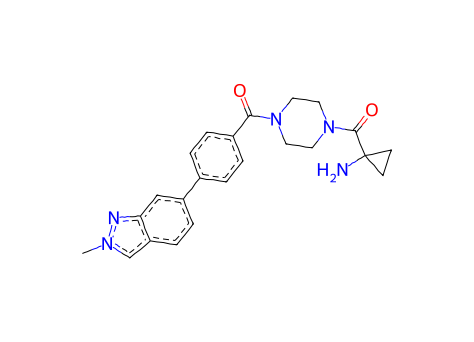 Cn1cc2ccc(-c3ccc(C(=O)N4CCN(C(=O)C5(N)CC5)CC4)cc3)cc2n1